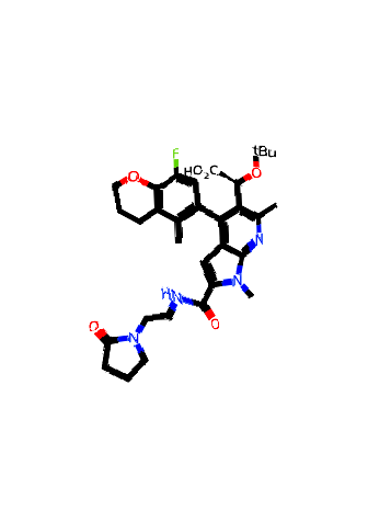 Cc1nc2c(cc(C(=O)NCCN3CCCC3=O)n2C)c(-c2cc(F)c3c(c2C)CCCO3)c1[C@H](OC(C)(C)C)C(=O)O